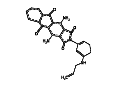 C=CCNC1=CC(n2c(=O)c3c(N)c4c(=O)c5ccccc5c(=O)c4c(N)c3c2=O)=CCC1